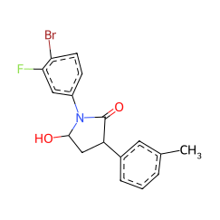 Cc1cccc(C2CC(O)N(c3ccc(Br)c(F)c3)C2=O)c1